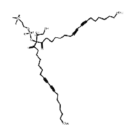 CCCCCCCCCCCCCCCCC#CC#CCCCCCCC(=O)C(OP(=O)([O-])OCC[N+](C)(C)C)(C(=O)CCCCCCC#CC#CCCCCCCCCCCCCCCCC)[C@@H](O)CO